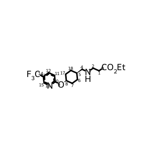 CCOC(=O)CCNC[C@H]1CC[C@H](Oc2ccc(C(F)(F)F)cn2)CC1